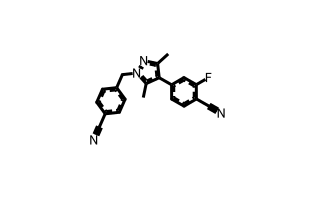 Cc1nn(Cc2ccc(C#N)cc2)c(C)c1-c1ccc(C#N)c(F)c1